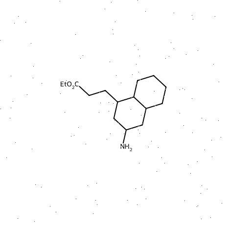 CCOC(=O)CCC1CC(N)CC2CCCCC21